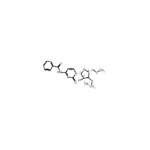 COC[C@H]1O[C@@H](n2ccc(NC(=O)c3ccccc3)nc2=O)[C@](C)(F)C1OC